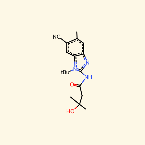 Cc1cc2nc(NC(=O)CC(C)(C)O)n(C(C)(C)C)c2cc1C#N